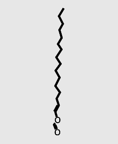 CCCCCCCCCCCCCC/C=C/OC=O